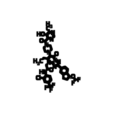 CCc1c(N2CCN(C(=O)c3ncnc(C)c3O)CC2)c(=O)n2nc(-c3ccc4c(c3)CC[C@H]4OC(F)F)nc2n1CC(=O)Nc1ccc(C(F)(F)F)cc1Cl